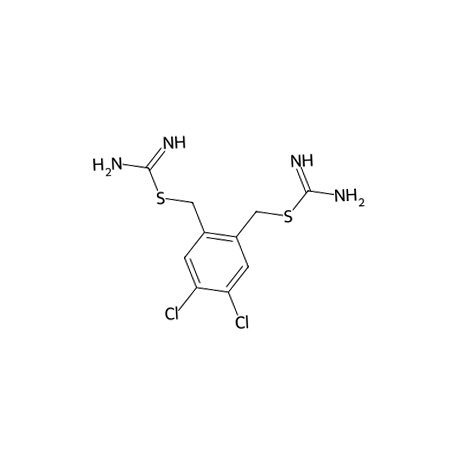 N=C(N)SCc1cc(Cl)c(Cl)cc1CSC(=N)N